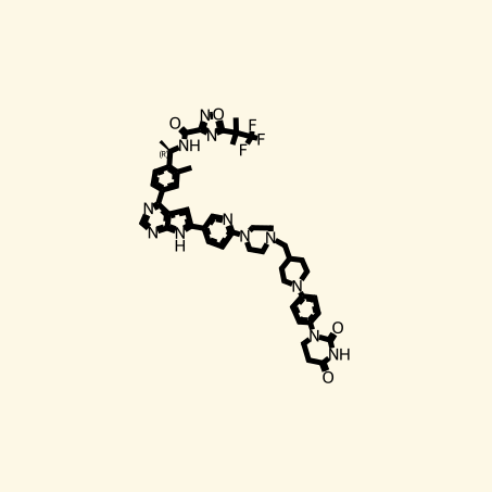 Cc1cc(-c2ncnc3[nH]c(-c4ccc(N5CCN(CC6CCN(c7ccc(N8CCC(=O)NC8=O)cc7)CC6)CC5)nc4)cc23)ccc1[C@@H](C)NC(=O)c1noc(C(C)(C)C(F)(F)F)n1